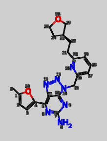 Cc1ccc(-c2nc(N)nc3c2nnn3Cc2cccc(CC[C@H]3CCOC3)n2)o1